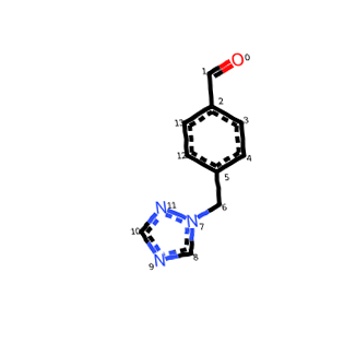 O=Cc1ccc(Cn2cncn2)cc1